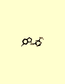 Nc1ncnc(N[C@H]2CCc3ccc(F)cc32)n1